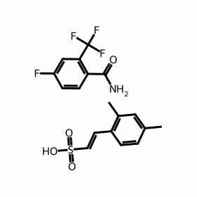 Cc1ccc(C=CS(=O)(=O)O)c(C)c1.NC(=O)c1ccc(F)cc1C(F)(F)F